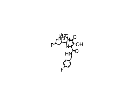 CC(=O)N1CC(F)CC1c1nc(C(=O)NCc2ccc(F)cc2)c(O)c(=O)n1C